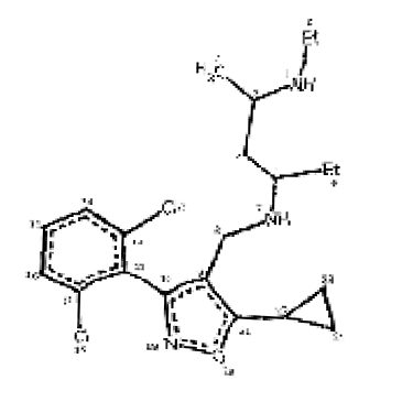 CCNC(C)CC(CC)NCc1c(-c2c(Cl)cccc2Cl)noc1C1CC1